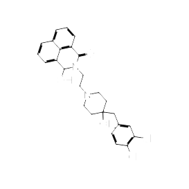 O=C1c2cccc3cccc(c23)C(O)N1CCN1CCC(O)(Cc2ccc(Cl)c(Cl)c2)CC1